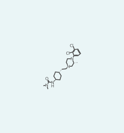 C[C@@H]1CN(CC[C@H]2CC[C@H](NC(=O)N(C)C)CC2)CCN1c1cccc(Cl)c1Cl